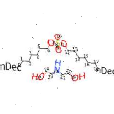 CCCCCCCCCCCCCCCCOS(=O)(=O)OCCCCCCCCCCCCCCCC.OCCNCCO